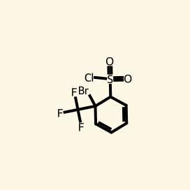 O=S(=O)(Cl)C1C=CC=CC1(Br)C(F)(F)F